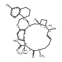 CC[C@H]1C(=O)N(C)CC/C=C/[C@H](O)[C@@H]2CC[C@H]2CN2C[C@@]3(CCCc4cc(Cl)ccc43)COc3ccc(cc32)[C@@]1(O)C(=O)O